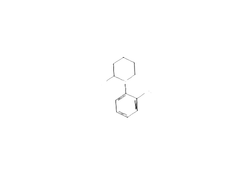 N#Cc1ccccc1N1CCCCC1C(F)(F)F